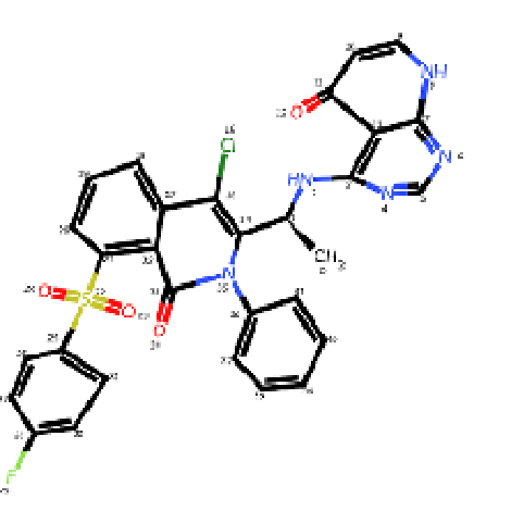 C[C@H](Nc1ncnc2[nH]ccc(=O)c12)c1c(Cl)c2cccc(S(=O)(=O)c3ccc(F)cc3)c2c(=O)n1-c1ccccc1